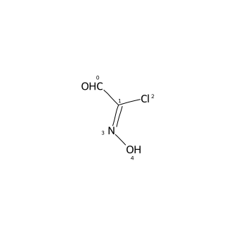 O=CC(Cl)=NO